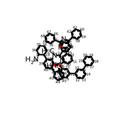 CN(/C(=N\C(=N)c1cccc(-c2cccc(-c3ccccc3)c2)c1)c1ccccc1)c1c(C2C=CC=CC2N)ccc2c3ccccc3n(-c3cccc(-c4nc(-c5ccccc5)nc(-c5ccccc5)n4)c3)c12